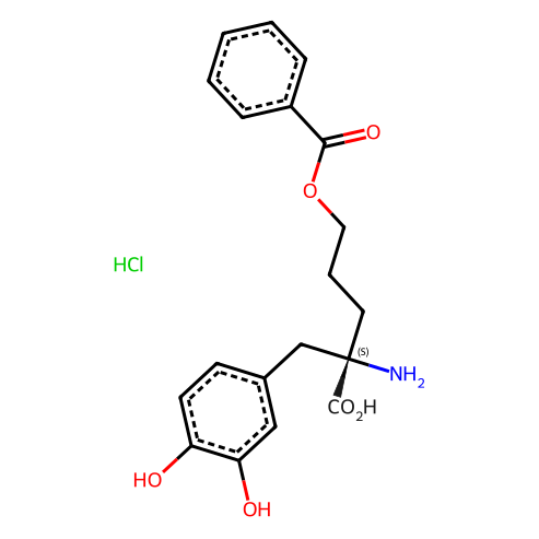 Cl.N[C@@](CCCOC(=O)c1ccccc1)(Cc1ccc(O)c(O)c1)C(=O)O